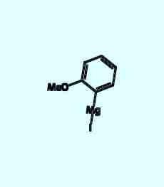 COc1cccc[c]1[Mg][I]